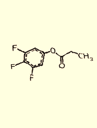 CCC(=O)Oc1cc(F)c(F)c(F)c1